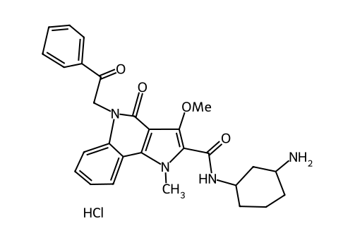 COc1c(C(=O)NC2CCCC(N)C2)n(C)c2c1c(=O)n(CC(=O)c1ccccc1)c1ccccc21.Cl